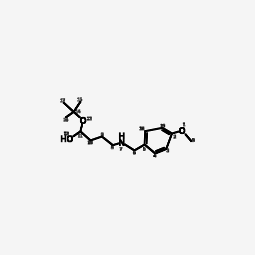 COc1ccc(CNCCCC(O)OC(C)(C)C)cc1